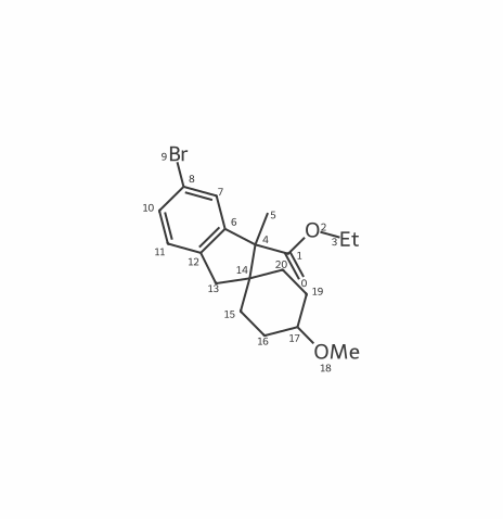 C=C(OCC)C1(C)c2cc(Br)ccc2CC12CCC(OC)CC2